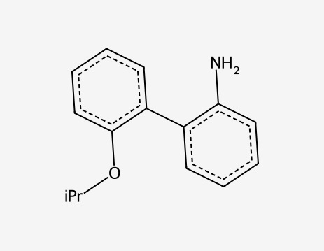 CC(C)Oc1ccccc1-c1ccccc1N